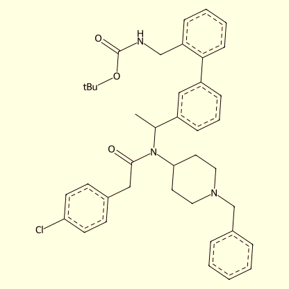 CC(c1cccc(-c2ccccc2CNC(=O)OC(C)(C)C)c1)N(C(=O)Cc1ccc(Cl)cc1)C1CCN(Cc2ccccc2)CC1